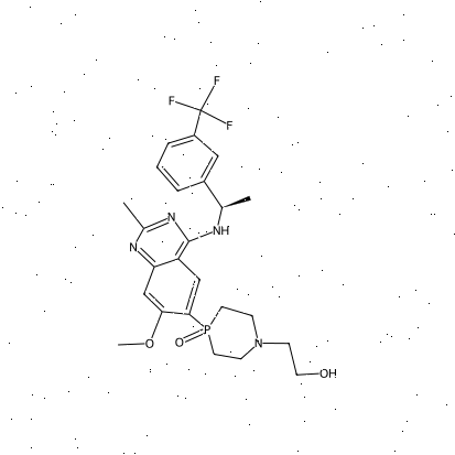 COc1cc2nc(C)nc(N[C@H](C)c3cccc(C(F)(F)F)c3)c2cc1P1(=O)CCN(CCO)CC1